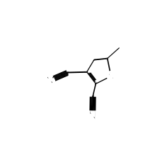 CC1CC(C#N)=C(C#N)S1